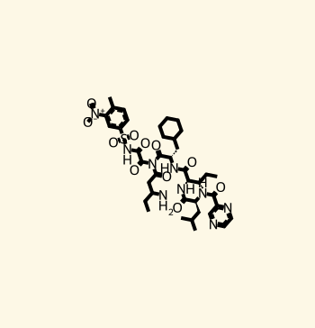 CCC(N)CC(=O)N(C(=O)C(=O)NS(=O)(=O)c1ccc(C)c([N+](=O)[O-])c1)C(=O)[C@H](CC1CCCCC1)NC(=O)[C@@H](NC(=O)[C@H](CC(C)C)NC(=O)c1cnccn1)[C@@H](C)CC